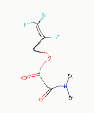 CCN(CC)C(=O)C(=O)OCC(F)=C(F)F